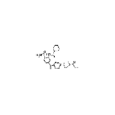 CCC(=O)N1CCC(c2ccc(Nc3cc(N[C@H](C)C4CCCCC4)c(C(N)=O)cn3)cc2)CC1